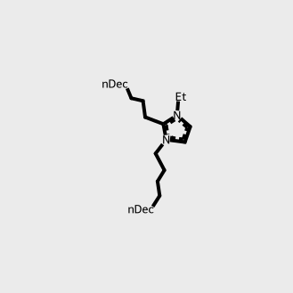 CCCCCCCCCCCCCC[n+]1ccn(CC)c1CCCCCCCCCCCCC